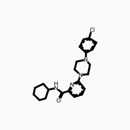 O=C(NC1CCCCC1)c1cccc(N2CCN(c3ccc(Cl)cc3)CC2)n1